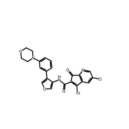 CCC1=C(C(=O)Nc2cocc2-c2cccc(N3CCOCC3)c2)C(=O)c2ncc(Cl)cc21